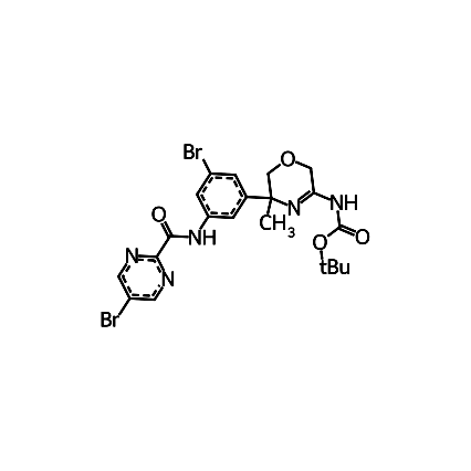 CC(C)(C)OC(=O)NC1=NC(C)(c2cc(Br)cc(NC(=O)c3ncc(Br)cn3)c2)COC1